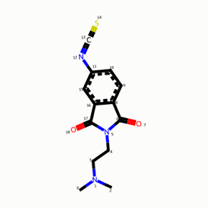 CN(C)CCN1C(=O)c2ccc(N=C=S)cc2C1=O